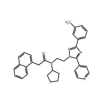 Cc1cccc(-c2nc(-c3ccncc3)n(CCN(C(=O)Cc3cccc4ccccc34)C3CCCC3)n2)c1